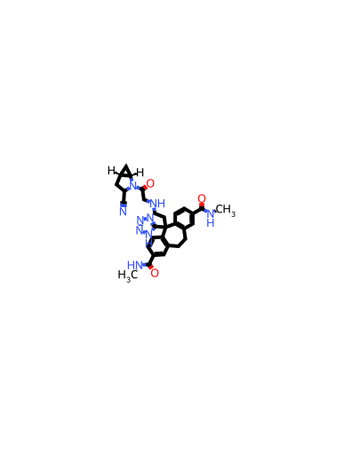 CNC(=O)c1ccc2c(c1)CCc1cc(C(=O)NC)ccc1C2(CCNCC(=O)N1C(C#N)C[C@@H]2C[C@@H]21)c1nnn[nH]1